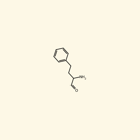 NC([C]=O)CCc1ccccc1